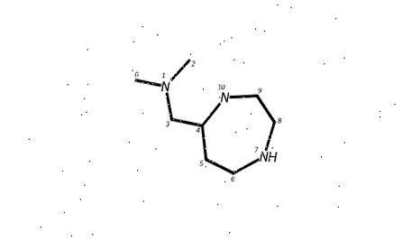 CN(C)CC1CCNCC[N]1